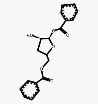 O=C(OCC1C[C@@H](O)[C@@H](OC(=O)c2ccccc2)O1)c1ccccc1